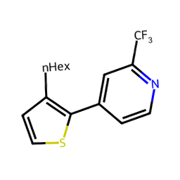 CCCCCCc1ccsc1-c1ccnc(C(F)(F)F)c1